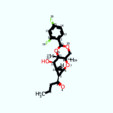 CCCC(=O)[C@@H]1[C@H]2O[C@@H]3COC(c4ccc(F)cc4F)O[C@H]3[C@H](O)[C@H]21